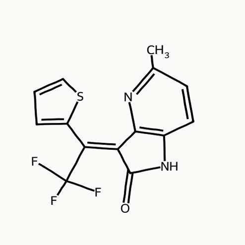 Cc1ccc2c(n1)C(=C(c1cccs1)C(F)(F)F)C(=O)N2